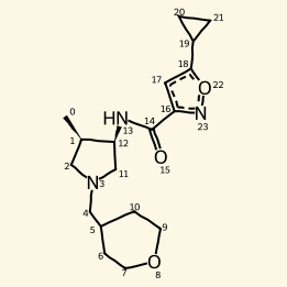 C[C@@H]1CN(CC2CCOCC2)C[C@@H]1NC(=O)c1cc(C2CC2)on1